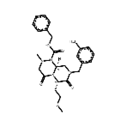 Bc1cccc(CN2C[C@H]3N(C(=O)CN(C)N3C(=O)NCc3ccccc3)[C@@H](CCSC)C2=O)c1